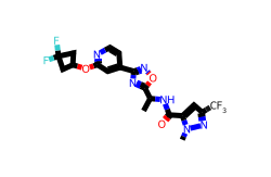 CC(NC(=O)c1cc(C(F)(F)F)nn1C)c1nc(-c2ccnc(OC3CC(F)(F)C3)c2)no1